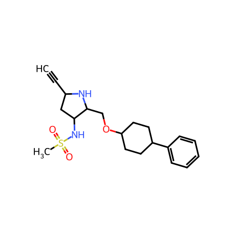 C#CC1CC(NS(C)(=O)=O)C(COC2CCC(c3ccccc3)CC2)N1